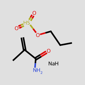 C=C(C)C(N)=O.CCCO[SH](=O)=O.[NaH]